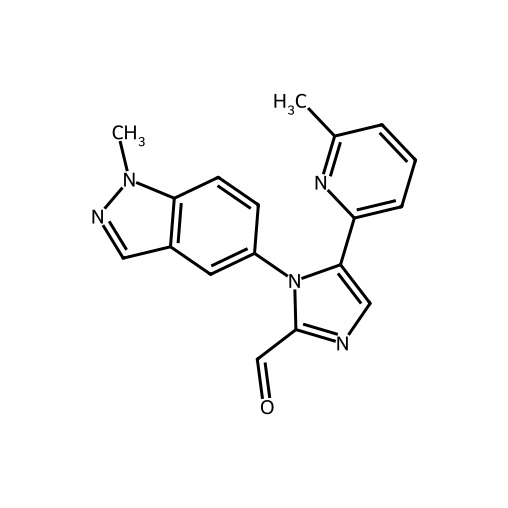 Cc1cccc(-c2cnc(C=O)n2-c2ccc3c(cnn3C)c2)n1